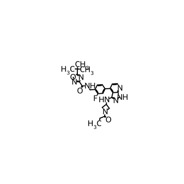 CCC(=O)N1CC(Nc2n[nH]c3nccc(-c4ccc(CNC(=O)c5noc(C(C)(C)C)n5)c(F)c4)c23)C1